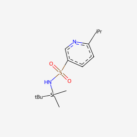 CC(C)c1ccc(S(=O)(=O)N[Si](C)(C)C(C)(C)C)cn1